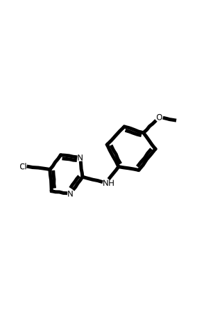 COc1ccc(Nc2ncc(Cl)cn2)cc1